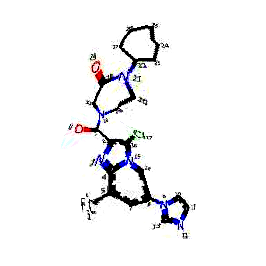 O=C(c1nc2c(C(F)(F)F)cc(-n3ccnc3)cn2c1Cl)N1CCN(C2CCCCC2)C(=O)C1